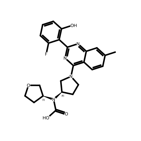 Cc1ccc2c(N3CC[C@@H](N(C(=O)O)[C@H]4CCOC4)C3)nc(-c3c(O)cccc3F)nc2c1